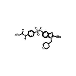 CN(c1ccc2c(c1)nc(C(C)(C)C)n2CC1CCOCC1)S(=O)(=O)c1ccc(NC(=O)C(C)(C)C)cc1